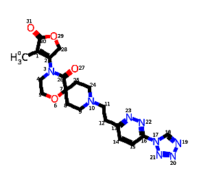 CC1=C(N2CCOC3(CCN(CCc4ccc(-n5cnnn5)nn4)CC3)C2=O)COC1=O